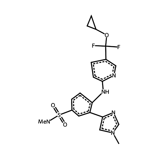 CNS(=O)(=O)c1ccc(Nc2ccc(C(F)(F)OC3CC3)cn2)c(-c2cn(C)cn2)c1